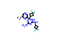 NC1=NC(c2cncc(C(F)(F)F)n2)(C2CC(F)(F)C2)NC(NC2CC(F)(F)C2)=N1